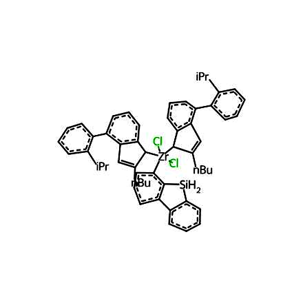 CCCCC1=Cc2c(-c3ccccc3C(C)C)cccc2[CH]1[Zr]([Cl])([Cl])([c]1cccc2c1[SiH2]c1ccccc1-2)[CH]1C(CCCC)=Cc2c(-c3ccccc3C(C)C)cccc21